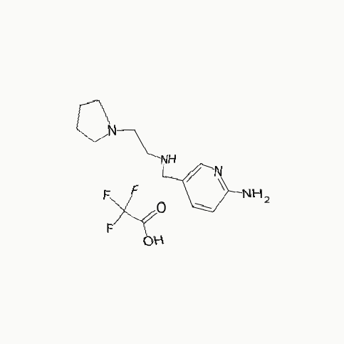 Nc1ccc(CNCCN2CCCC2)cn1.O=C(O)C(F)(F)F